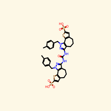 Cc1ccc(Cn2nc(NC(=O)Nc3nn(Cc4ccc(C)cc4)c4c3CCCc3cc(S(=O)(=O)O)sc3-4)c3c2-c2sc(S(=O)(=O)O)cc2CCC3)cc1